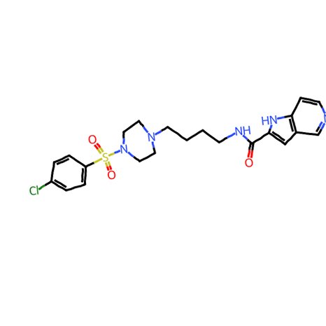 O=C(NCCCCN1CCN(S(=O)(=O)c2ccc(Cl)cc2)CC1)c1cc2cnccc2[nH]1